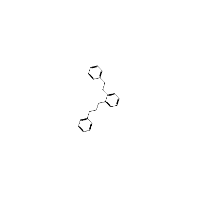 c1ccc(CCCc2ccccc2CCc2ccccc2)cc1